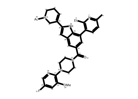 CCc1nc(C)ccc1-c1cc(C(=O)N2CCN(c3ncc(F)cc3OC)CC2)cc2cc(C3=CCCN(C(C)=O)C3)[nH]c12